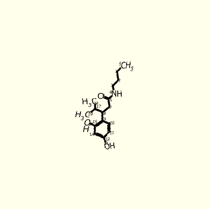 CCCCNC(=O)CC(c1ccc(O)cc1O)C(C)C